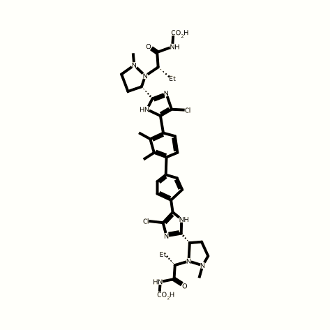 CC[C@@H](C(=O)NC(=O)O)N1[C@H](c2nc(Cl)c(-c3ccc(-c4ccc(-c5[nH]c([C@@H]6CCN(C)N6[C@@H](CC)C(=O)NC(=O)O)nc5Cl)c(C)c4C)cc3)[nH]2)CCN1C